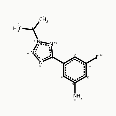 CC(C)n1nnc(-c2cc(N)cc(F)c2)n1